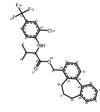 CC(C)C(Nc1ccc(C(F)(F)F)cc1Cl)C(=O)OCc1cccc2c1CCCc1ccccc1-2